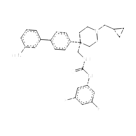 Nc1cccc(-c2ccc(C3(CNC(=O)Nc4cc(F)cc(F)c4)CCN(CC4CC4)CC3)cc2)c1